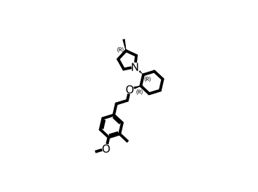 COc1ccc(CCO[C@@H]2CCCC[C@H]2N2CC[C@@H](C)C2)cc1C